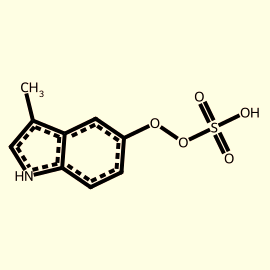 Cc1c[nH]c2ccc(OOS(=O)(=O)O)cc12